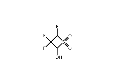 O=S1(=O)C(O)C(F)(F)C1F